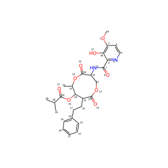 COc1ccnc(C(=O)NC2COC(=O)C(CCc3ccccc3)C(OC(=O)C(C)C)C(C)OC2=O)c1O